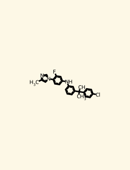 Cc1cn(-c2ccc(Nc3cccc(C(C)(C)c4ccc(Cl)cc4)c3)cc2F)cn1